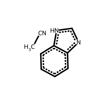 CC#N.c1ccc2[nH]cnc2c1